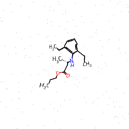 CCCOC(=O)[C@H](C)Nc1c(CC)cccc1CC